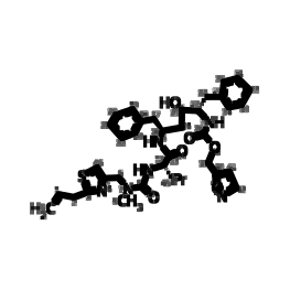 C=CCc1nc(CN(C)C(=O)N[C@H](C(=O)N[C@@H](Cc2ccccc2)C[C@H](O)[C@H](Cc2ccccc2)NC(=O)OCc2ccno2)C(C)C)cs1